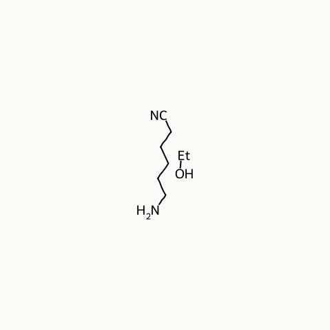 CCO.N#CCCCCCN